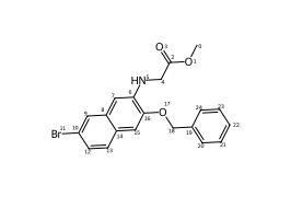 COC(=O)CNc1cc2cc(Br)ccc2cc1OCc1ccccc1